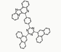 c1ccc2c(c1)cc(-c1nc(-c3ccc(-c4nc5ccccc5c5nc6ccccn6c45)cc3)nc(-c3cc4ccccc4c4ccccc34)n1)c1ccccc12